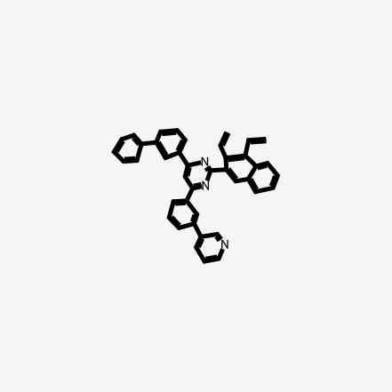 C=Cc1c(-c2nc(-c3cccc(-c4ccccc4)c3)cc(-c3cccc(-c4cccnc4)c3)n2)cc2ccccc2c1C=C